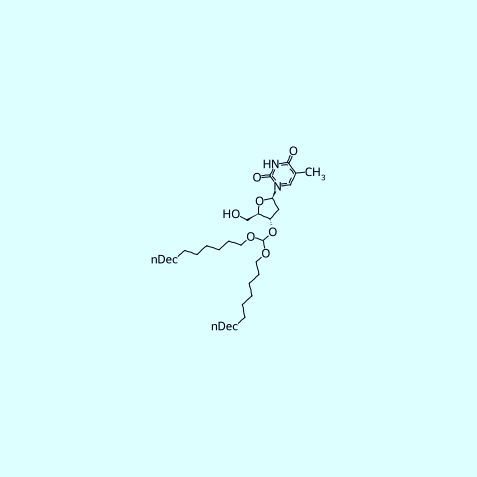 CCCCCCCCCCCCCCCCOC(OCCCCCCCCCCCCCCCC)O[C@H]1C[C@H](n2cc(C)c(=O)[nH]c2=O)O[C@@H]1CO